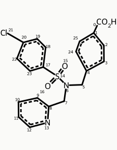 O=C(O)c1ccc(CN(Cc2ccccn2)S(=O)(=O)c2ccc(Cl)cc2)cc1